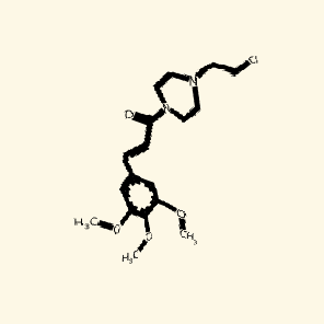 COc1cc(C=CC(=O)N2CCN(CCCl)CC2)cc(OC)c1OC